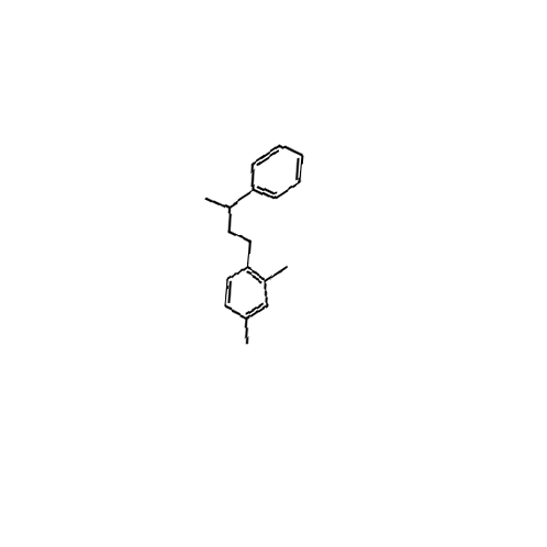 Cc1ccc(CCC(C)c2ccccc2)c(C)c1